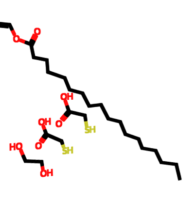 C=COC(=O)CCCCCCCCCCCCCCCCC.O=C(O)CS.O=C(O)CS.OCCO